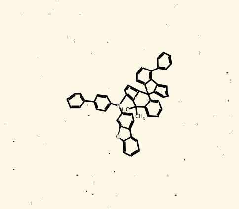 CC1(C)c2ccccc2C2(c3ccccc3-c3c(-c4ccccc4)cccc32)c2cccc(N(c3ccc(-c4ccccc4)cc3)c3ccc4c(c3)oc3ccccc34)c21